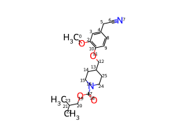 COc1cc(CC#N)ccc1OCC1CCN(C(=O)OCC(C)C)CC1